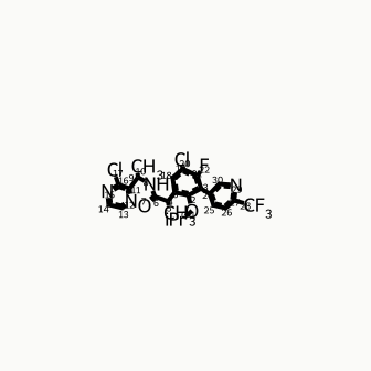 CC(C)Oc1c(C(C)C(=O)NC(C)c2nccnc2Cl)cc(Cl)c(F)c1-c1ccc(C(F)(F)F)nc1